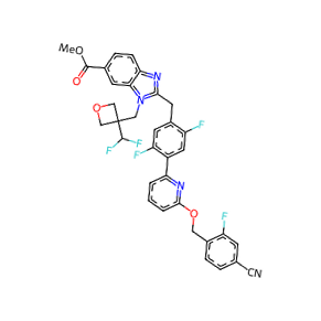 COC(=O)c1ccc2nc(Cc3cc(F)c(-c4cccc(OCc5ccc(C#N)cc5F)n4)cc3F)n(CC3(C(F)F)COC3)c2c1